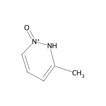 Cc1ccc[n+](=O)[nH]1